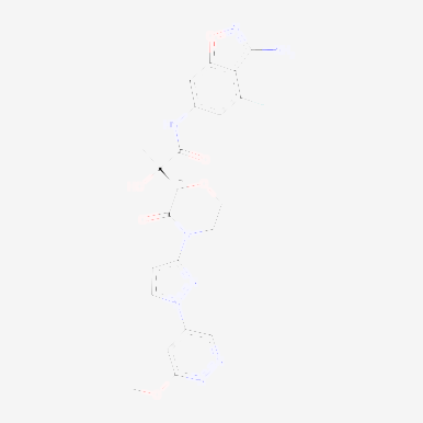 COc1cc(-n2ccc(N3CCO[C@H](C(C)(O)C(=O)Nc4cc(F)c5c(N)noc5c4)C3=O)n2)cnn1